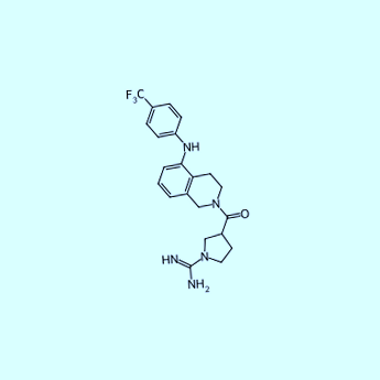 N=C(N)N1CCC(C(=O)N2CCc3c(cccc3Nc3ccc(C(F)(F)F)cc3)C2)C1